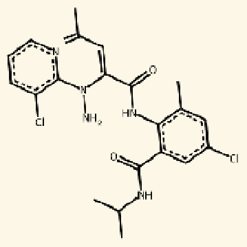 C=C(C)/C=C(/C(=O)Nc1c(C)cc(Cl)cc1C(=O)NC(C)C)N(N)c1ncccc1Cl